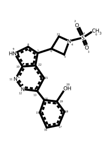 CS(=O)(=O)N1CC(c2c[nH]c3nnc(-c4ccccc4O)cc23)C1